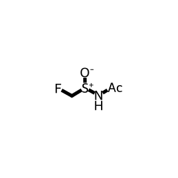 CC(=O)N[S+]([O-])CF